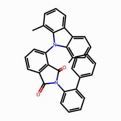 Cc1cccc2c3cccc(C)c3n(-c3cccc4c3C(=O)N(c3ccccc3-c3ccccc3)C4=O)c12